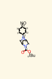 CC(C)(C)OC(=O)N1CC2CC1CN2c1ccc(N=O)cc1